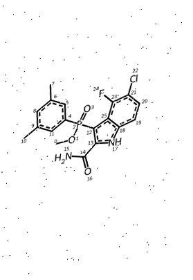 COP(=O)(c1cc(C)cc(C)c1)c1c(C(N)=O)[nH]c2ccc(Cl)c(F)c12